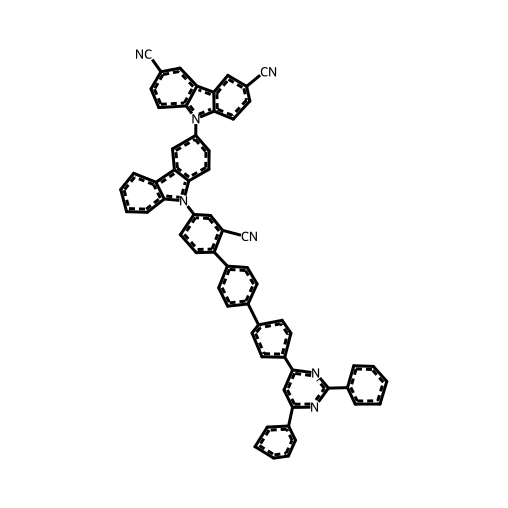 N#Cc1ccc2c(c1)c1cc(C#N)ccc1n2-c1ccc2c(c1)c1ccccc1n2-c1ccc(-c2ccc(-c3ccc(-c4cc(-c5ccccc5)nc(-c5ccccc5)n4)cc3)cc2)c(C#N)c1